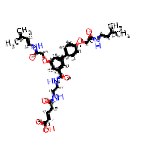 CC(C)CCNC(=O)COc1ccc(-c2cc(OCC(=O)NCCC(C)C)cc(C(=O)NCCNC(=O)CCCC(=O)O)c2)cc1